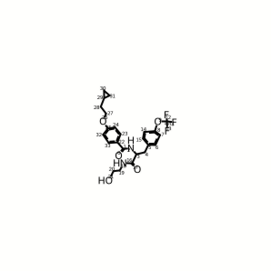 O=C(NC(Cc1ccc(OC(F)(F)F)cc1)C(=O)NCCO)c1ccc(OCCC2CC2)cc1